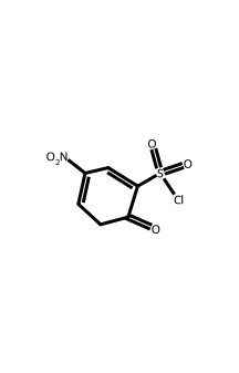 O=C1CC=C([N+](=O)[O-])C=C1S(=O)(=O)Cl